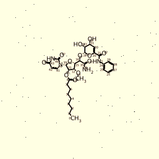 CCCCCCCCC(=O)O[C@@H]1[C@H](OC)[C@@H]([C@@H](O[C@H]2OC(C(=O)Nc3ccccc3)=C[C@H](O)[C@@H]2O)C(N)=O)O[C@H]1n1ccc(=O)[nH]c1=O